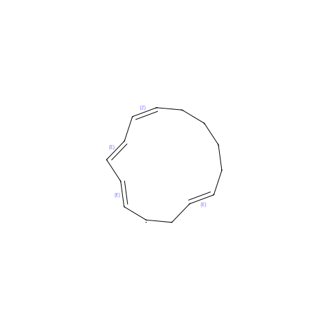 [CH]1/C=C/C=C/C=C\CCCC/C=C/C1